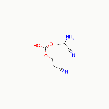 CC(N)C#N.N#CCCOC(=O)O